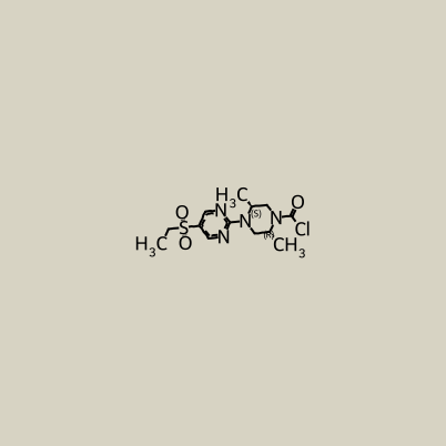 CCS(=O)(=O)c1cnc(N2C[C@@H](C)N(C(=O)Cl)C[C@@H]2C)nc1